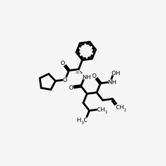 C=CCC(C(=O)NO)C(CC(C)C)C(=O)N[C@H](C(=O)OC1CCCC1)c1ccccc1